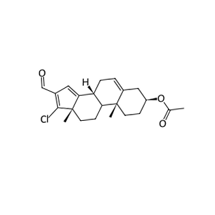 CC(=O)O[C@H]1CC[C@@]2(C)C(=CC[C@H]3C4=CC(C=O)=C(Cl)[C@@]4(C)CCC32)C1